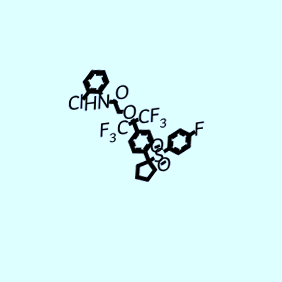 O=C(COC(c1ccc(C2(S(=O)(=O)c3ccc(F)cc3)CCCC2)cc1)(C(F)(F)F)C(F)(F)F)Nc1ccccc1Cl